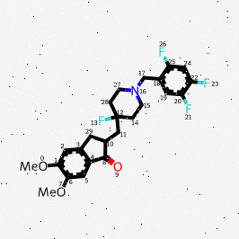 COc1cc2c(cc1OC)C(=O)C(CC1(F)CCN(Cc3cc(F)c(F)cc3F)CC1)C2